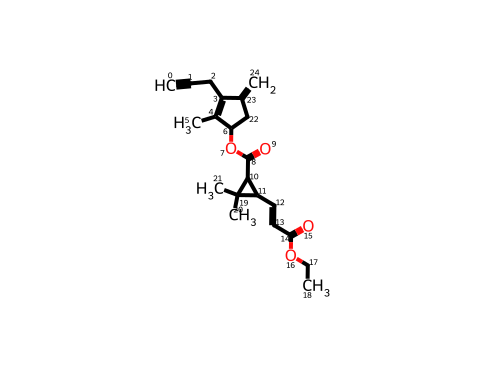 C#CCC1=C(C)C(OC(=O)C2C(/C=C/C(=O)OCC)C2(C)C)CC1=C